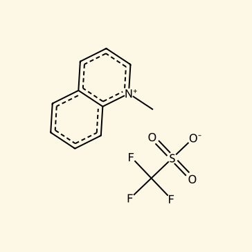 C[n+]1cccc2ccccc21.O=S(=O)([O-])C(F)(F)F